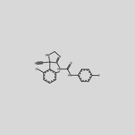 N#CC1(c2c(F)cccc2Cl)NCN=C1NC(=O)Nc1ccc(F)cc1